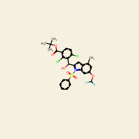 Cc1cc(OC(F)F)cc2c1cc(C(O)c1c(Cl)ccc(C(=O)OC(C)(C)C)c1Cl)n2S(=O)(=O)c1ccccc1